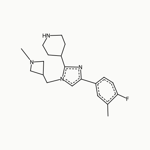 Cc1cc(-c2cn(CC3CN(C)C3)c(C3CCNCC3)n2)ccc1F